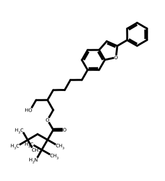 CC(C)(C)CC(C)(C(=O)OCC(CO)CCCCc1ccc2cc(-c3ccccc3)oc2c1)C(C)(C)N